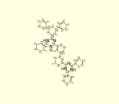 C1=CCC(C2=NC(C3=CC(C4=CCCC(C5N=C(C6CC(C7=CCCC=C7)CC(C7C=CCCC7)C6)NC(C6=CCCCC6)N5)=C4)CCC3)NC(C3=CCCC=C3)N2)C=C1